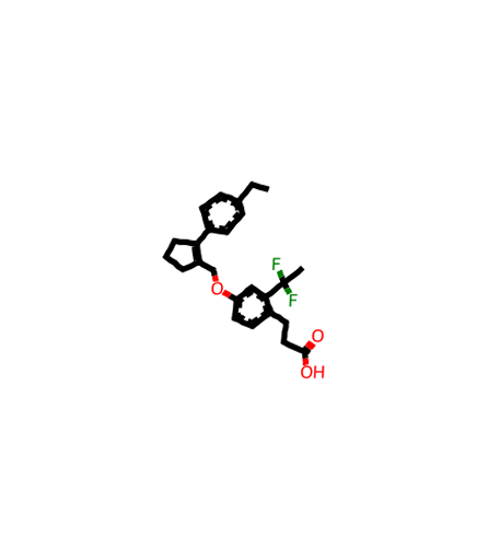 CCc1ccc(C2=C(COc3ccc(CCC(=O)O)c(C(C)(F)F)c3)CCC2)cc1